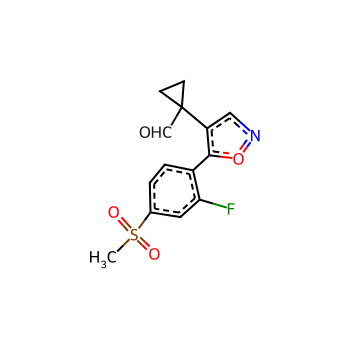 CS(=O)(=O)c1ccc(-c2oncc2C2(C=O)CC2)c(F)c1